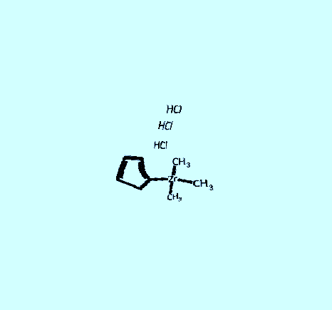 Cl.Cl.Cl.[CH3][Zr]([CH3])([CH3])[C]1=CC=CC1